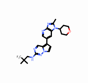 Cc1nc2ncc(-c3ccn4nc(NCC(C)(C)C(F)(F)F)ncc34)cc2n1C1CCOCC1